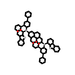 c1ccc(-c2ccc(N(c3cc4ccc5cc(N(c6ccc(-c7ccccc7)cc6-c6ccccc6)c6cccc7c6oc6ccccc67)cc6ccc(c3)c4c56)c3cccc4c3oc3ccccc34)c(-c3ccccc3)c2)cc1